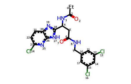 CCC(=O)NC(CC(=O)NCc1cc(Cl)cc(Cl)c1)c1nc2ccc(Cl)nc2[nH]1